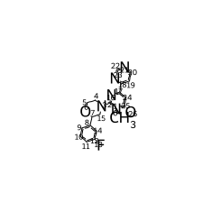 Cn1c(N2CCOC(c3cccc(F)c3)C2)nc(-c2ccncn2)cc1=O